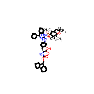 Cc1c(C)c(S(=O)(=O)N/C(=N\C(c2ccccc2)c2ccccc2)Nc2ccc(C[C@H](NC(=O)OCC3c4ccccc4-c4ccccc43)C(=O)O)cc2)c(C)c2c1OC(C)(C)C2